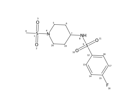 CS(=O)(=O)N1CCC(NS(=O)(=O)c2ccc(F)cc2)CC1